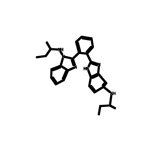 CCC(C)Nc1ccc2[nH]c(-c3ccccc3-c3nc4ccccc4n3NC(C)CC)nc2c1